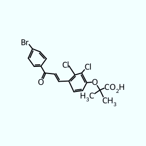 CC(C)(Oc1ccc(C=CC(=O)c2ccc(Br)cc2)c(Cl)c1Cl)C(=O)O